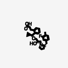 Cc1ccc(C[C@@H]2CCCN2C[C@@H](O)CO[C@@H](c2ccccc2CCC(=O)O)C2CC2)cc1F